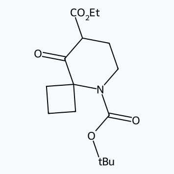 CCOC(=O)C1CCN(C(=O)OC(C)(C)C)C2(CCC2)C1=O